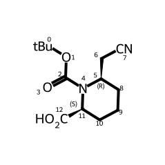 CC(C)(C)OC(=O)N1[C@@H](CC#N)CCC[C@H]1C(=O)O